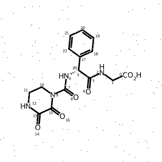 O=C(O)CNC(=O)[C@H](NC(=O)N1CCNC(=O)C1=O)c1ccccc1